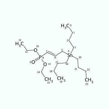 CCC[CH2][Sn]([CH2]C=CP(=O)(OCC)OCC)([CH2]CCC)[CH2]CCC